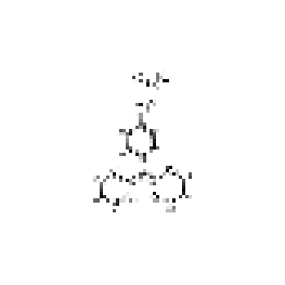 O=C(O)COc1ccc(C(=C2SCCCS2)c2ccccc2)cc1